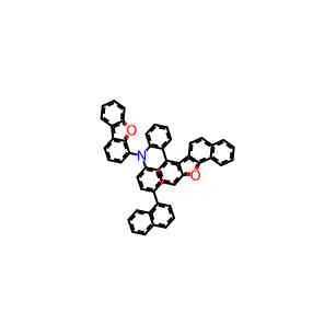 c1ccc(N(c2ccc(-c3cccc4ccccc34)cc2)c2cccc3c2oc2ccccc23)c(-c2cccc3oc4c5ccccc5ccc4c23)c1